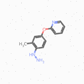 Cc1cc(Oc2ccccn2)ccc1NN